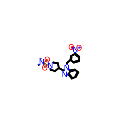 CN(C)S(=O)(=O)N1CCC(c2nc3ccccc3n2Cc2cccc([N+](=O)[O-])c2)CC1